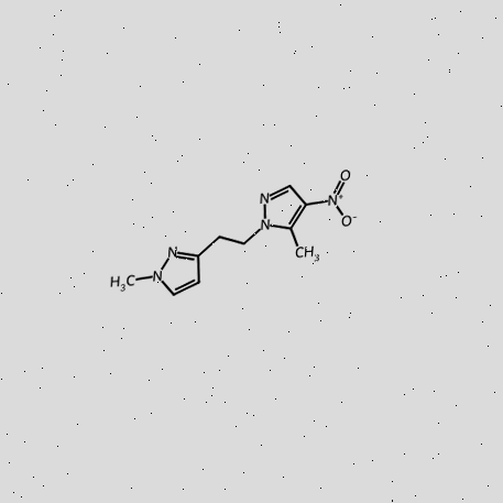 Cc1c([N+](=O)[O-])cnn1CCc1ccn(C)n1